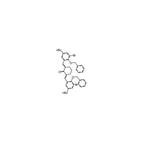 CCCCc1cc(Br)c(OCc2ccccc2)c(/C=C2\CCC/C(=C\c3cc(CCCC)cc(Br)c3OCc3ccccc3)C2=O)c1